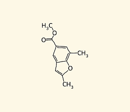 COC(=O)c1cc(C)c2oc(C)cc2c1